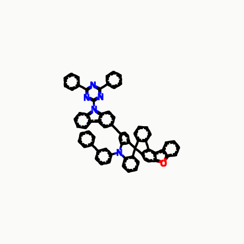 c1ccc(-c2cccc(N3c4ccccc4C4(c5ccccc5-c5c4ccc4oc6ccccc6c54)c4ccc(-c5ccc6c(c5)c5ccccc5n6-c5nc(-c6ccccc6)nc(-c6ccccc6)n5)cc43)c2)cc1